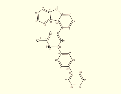 ClC1=NC(c2cccc3oc4ccccc4c23)=NC(c2ccc(-c3ccccc3)cc2)N1